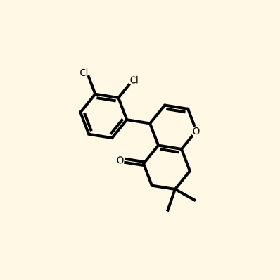 CC1(C)CC(=O)C2=C(C1)OC=CC2c1cccc(Cl)c1Cl